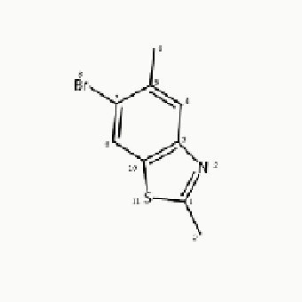 Cc1nc2cc(C)c(Br)cc2s1